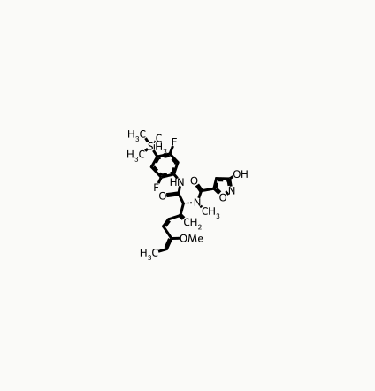 C=C(/C=C\C(=C/C)OC)[C@H](C(=O)Nc1cc(F)c([Si](C)(C)C)cc1F)N(C)C(=O)c1cc(O)no1